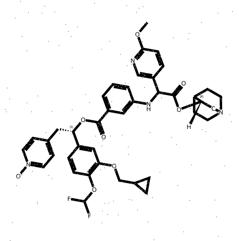 COc1ccc(C(Nc2cccc(C(=O)O[C@@H](Cc3cc[n+]([O-])cc3)c3ccc(OC(F)F)c(OCC4CC4)c3)c2)C(=O)O[C@H]2CN3CCC2CC3)cn1